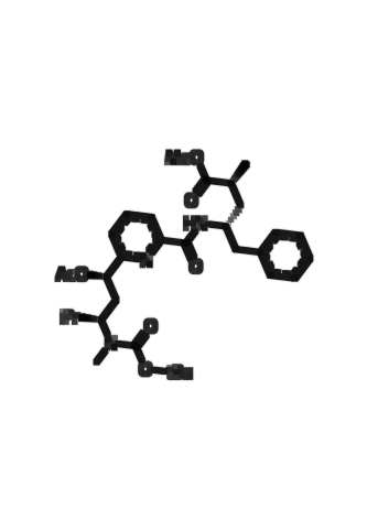 COC(=O)[C@@H](C)C[C@H](Cc1ccccc1)NC(=O)c1cccc([C@@H](C[C@H](C(C)C)N(C)C(=O)OC(C)(C)C)OC(C)=O)n1